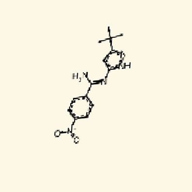 CC(C)(C)c1cc(/N=C(\N)c2ccc([N+](=O)[O-])cc2)[nH]n1